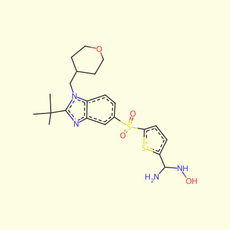 CC(C)(C)c1nc2cc(S(=O)(=O)c3ccc(C(N)NO)s3)ccc2n1CC1CCOCC1